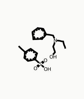 CCN(CCO)Cc1ccccc1.Cc1ccc(S(=O)(=O)O)cc1